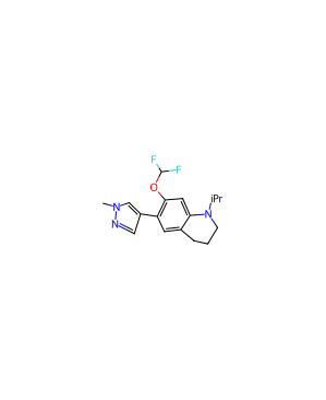 CC(C)N1CCCc2cc(-c3cnn(C)c3)c(OC(F)F)cc21